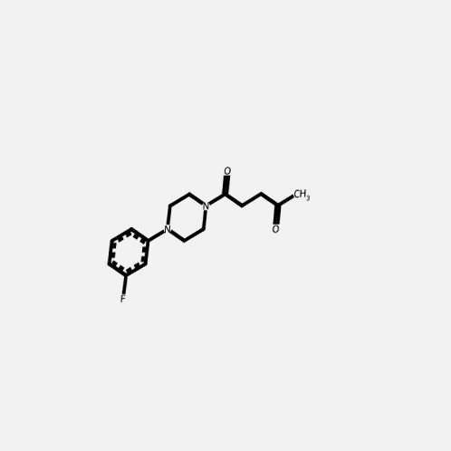 CC(=O)CCC(=O)N1CCN(c2cccc(F)c2)CC1